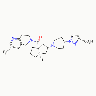 O=C(O)c1ccn(C2CCN([C@@H]3C[C@H]4CCC[C@@]4(C(=O)N4CCc5ncc(C(F)(F)F)cc5C4)C3)CC2)n1